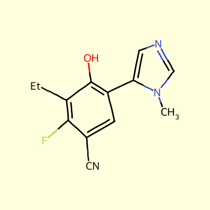 CCc1c(O)c(-c2cncn2C)cc(C#N)c1F